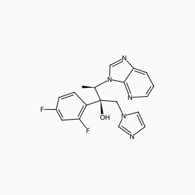 C[C@@H](n1cnc2cccnc21)[C@](O)(Cn1ccnc1)c1ccc(F)cc1F